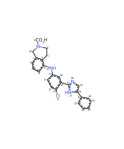 O=C(O)N1CCc2c(cccc2Nc2ccc(Cl)c(-c3ncc(-c4ccccc4)[nH]3)c2)C1